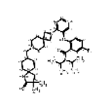 CC(C)N(C(=O)c1cc(F)ccc1Oc1cncnc1N1CC2(CCN(CC3CCC4(CC3)CC(C)(C)C(=O)N4)CC2)C1)C(C)C